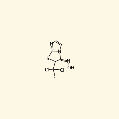 ON=C1C(C(Cl)(Cl)Cl)Sc2nccn21